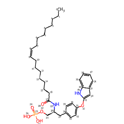 CCCCCCCC/C=C\CCCCCCCC(=O)N[C@H](COP(=O)(O)O)Cc1ccc(Oc2cc3ccccc3[nH]2)cc1